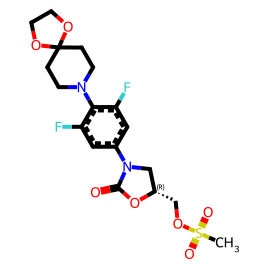 CS(=O)(=O)OC[C@H]1CN(c2cc(F)c(N3CCC4(CC3)OCCO4)c(F)c2)C(=O)O1